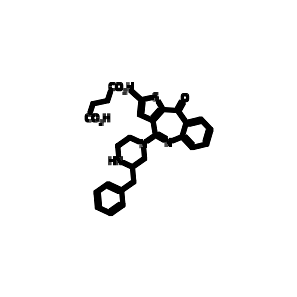 Cc1cc2c(N3CCNC(Cc4ccccc4)C3)nc3ccccc3c(=O)c2s1.O=C(O)CCC(=O)O